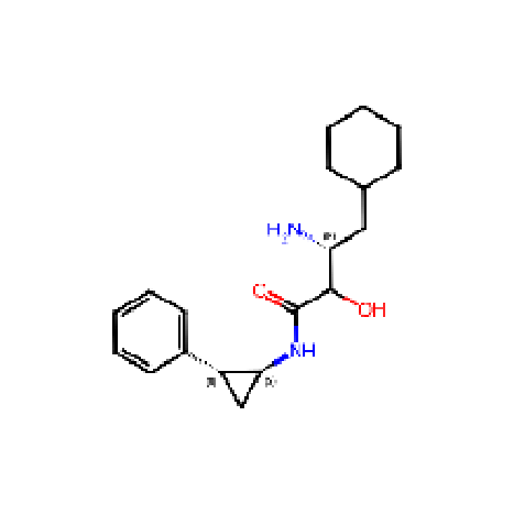 N[C@H](CC1CCCCC1)C(O)C(=O)N[C@H]1C[C@@H]1c1ccccc1